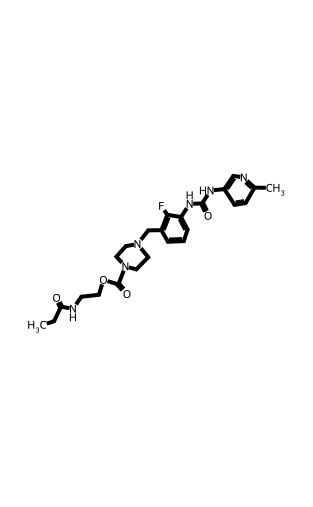 CCC(=O)NCCOC(=O)N1CCN(Cc2cccc(NC(=O)Nc3ccc(C)nc3)c2F)CC1